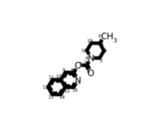 CC1CCN(C(=O)Oc2cc3ccccc3cn2)CC1